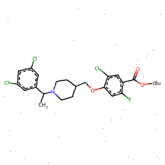 CC(c1cc(Cl)cc(Cl)c1)N1CCC(COc2cc(F)c(C(=O)OC(C)(C)C)cc2Cl)CC1